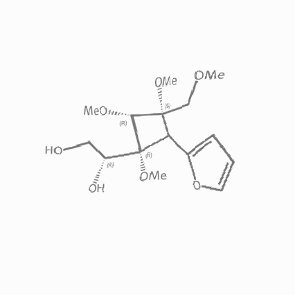 COC[C@@]1(OC)C(c2ccco2)[C@@](OC)([C@H](O)CO)[C@@H]1OC